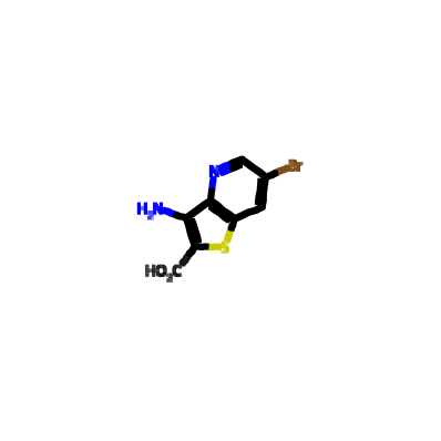 Nc1c(C(=O)O)sc2cc(Br)cnc12